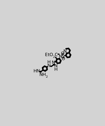 CCOC(=O)CN(c1ccc2[nH]c(CNc3ccc(C(=N)N)cc3)nc2c1C)S(=O)(=O)c1cccc2cccnc12